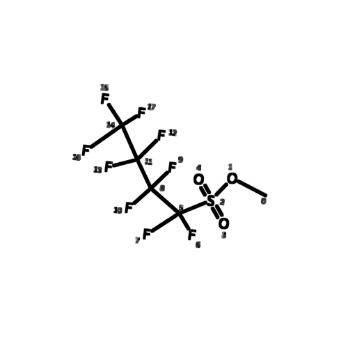 COS(=O)(=O)C(F)(F)C(F)(F)C(F)(F)C(F)(F)F